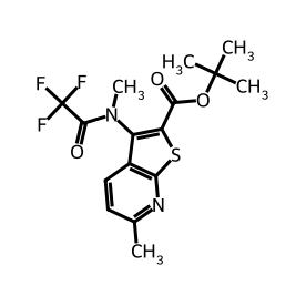 Cc1ccc2c(N(C)C(=O)C(F)(F)F)c(C(=O)OC(C)(C)C)sc2n1